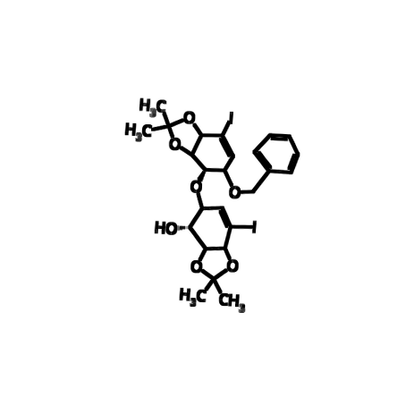 CC1(C)OC2C(I)=CC(O[C@@H]3C(OCc4ccccc4)C=C(I)C4OC(C)(C)OC43)[C@@H](O)C2O1